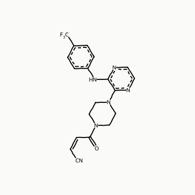 N#C/C=C\C(=O)N1CCN(c2nccnc2Nc2ccc(C(F)(F)F)cc2)CC1